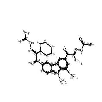 CCCC(=O)O/N=C(\C)C(=O)c1cc([N+](=O)[O-])c2c(c1)c1cc(C(=O)/C(=N/OC(=O)CCC)C3CCCCC3)ccc1n2C